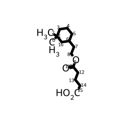 CC1(C)CCCC(CCOC(=O)CCCC(=O)O)C1